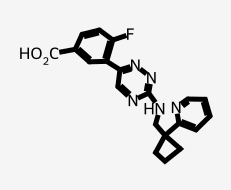 O=C(O)c1ccc(F)c(-c2cnc(NCC3(c4ccccn4)CCC3)nn2)c1